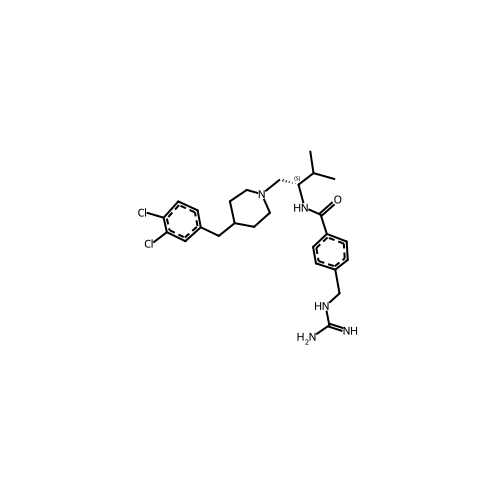 CC(C)[C@@H](CN1CCC(Cc2ccc(Cl)c(Cl)c2)CC1)NC(=O)c1ccc(CNC(=N)N)cc1